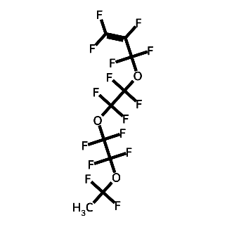 CC(F)(F)OC(F)(F)C(F)(F)OC(F)(F)C(F)(F)OC(F)(F)C(F)=C(F)F